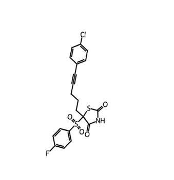 O=C1NC(=O)C(CCCC#Cc2ccc(Cl)cc2)(S(=O)(=O)c2ccc(F)cc2)S1